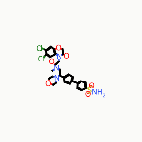 CN(CC(c1ccc(-c2ccc(S(N)(=O)=O)cc2)cc1)N1CCOCC1)C(=O)CN1C(=O)COc2cc(Cl)c(Cl)cc21